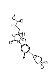 COC(=O)NC[C@@H]1OC(=O)N2c3cc(F)c(C4C5CS(=O)(=O)CC54)cc3C[C@@H]12